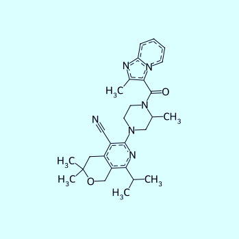 Cc1nc2ccccn2c1C(=O)N1CCN(c2nc(C(C)C)c3c(c2C#N)CC(C)(C)OC3)CC1C